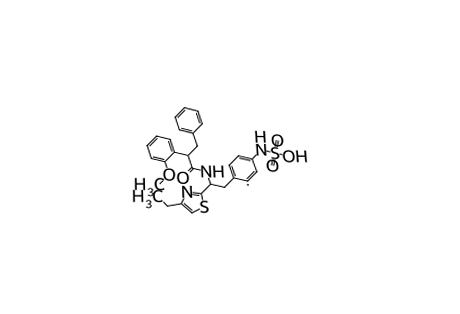 CCc1csc(C(Cc2[c]cc(NS(=O)(=O)O)cc2)NC(=O)C(Cc2ccccc2)c2ccccc2OC)n1